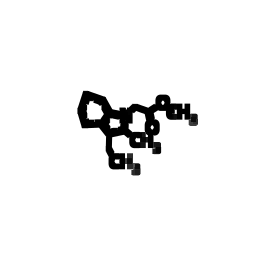 CCc1c(C)n(CC(=O)OC)c2ccccc12